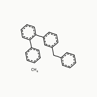 C.c1ccc(Cc2cccc(-c3ccccc3-c3ccccc3)c2)cc1